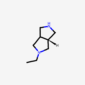 CCN1CC2CNC[C@@H]2C1